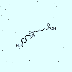 Nc1ccc(C=C2ON(CCCCCCC(=O)O)OS2)cc1